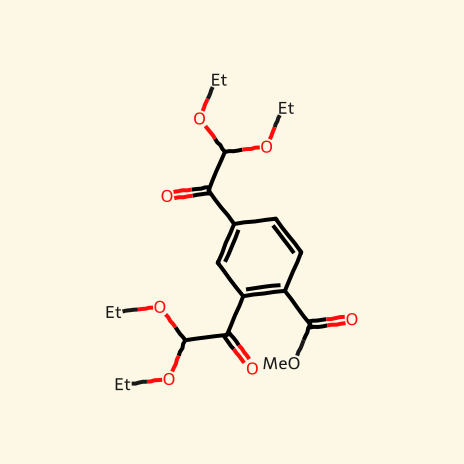 CCOC(OCC)C(=O)c1ccc(C(=O)OC)c(C(=O)C(OCC)OCC)c1